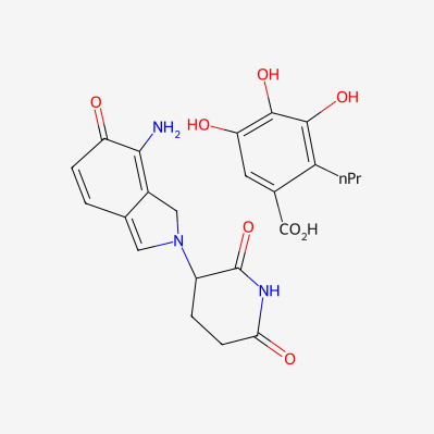 CCCc1c(C(=O)O)cc(O)c(O)c1O.NC1=C2CN(C3CCC(=O)NC3=O)C=C2C=CC1=O